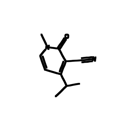 CC(C)c1ccn(C)c(=O)c1C#N